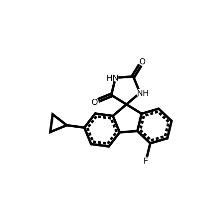 O=C1NC(=O)C2(N1)c1cc(C3CC3)ccc1-c1c(F)cccc12